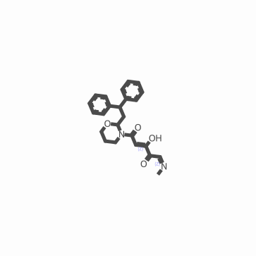 C/N=C\C(=O)/C(O)=C/C(=O)N1CCCOC1CC(c1ccccc1)c1ccccc1